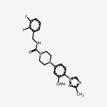 COc1cc(N2CCN(C(=O)NCc3cccc(F)c3F)CC2)ccc1-n1cnc(C)n1